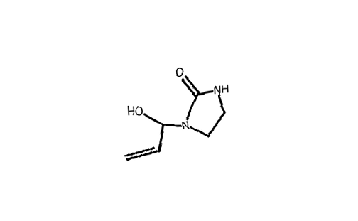 C=CC(O)N1CCNC1=O